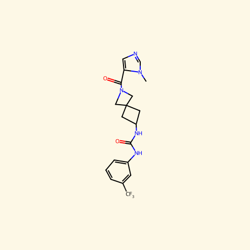 Cn1cncc1C(=O)N1CC2(CC(NC(=O)Nc3cccc(C(F)(F)F)c3)C2)C1